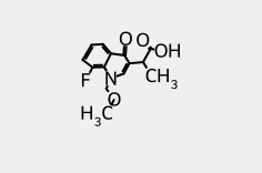 COCn1cc(C(C)C(=O)O)c(=O)c2cccc(F)c21